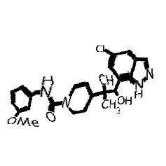 COc1cccc(NC(=O)N2CCC(C(C)(C)C(O)c3cc(Cl)cc4cn[nH]c34)CC2)c1